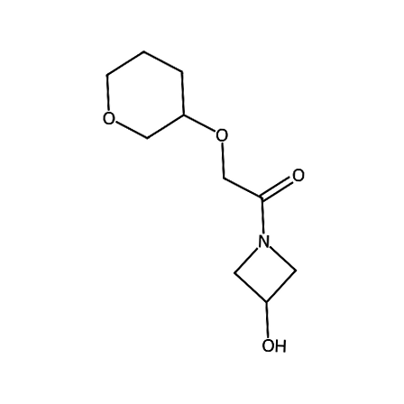 O=C(COC1CCCOC1)N1CC(O)C1